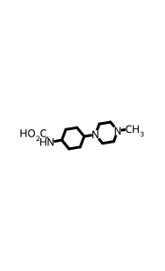 CN1CCN(C2CCC(NC(=O)O)CC2)CC1